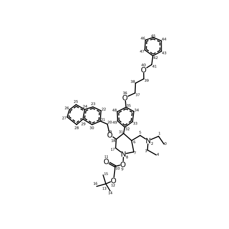 CCN(CC)CC1CN(OC(=O)OC(C)(C)C)CC(OCc2ccc3ccccc3c2)C1c1ccc(OCCCOCc2ccccc2)cc1